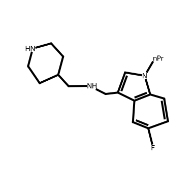 CCCn1cc(CNCC2CCNCC2)c2cc(F)ccc21